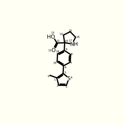 Cc1ccsc1-c1ccc(C2(C(=O)O)CCCN2)cc1